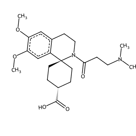 COc1cc2c(cc1OC)[C@]1(CC[C@@H](C(=O)O)CC1)N(C(=O)CCN(C)C)CC2